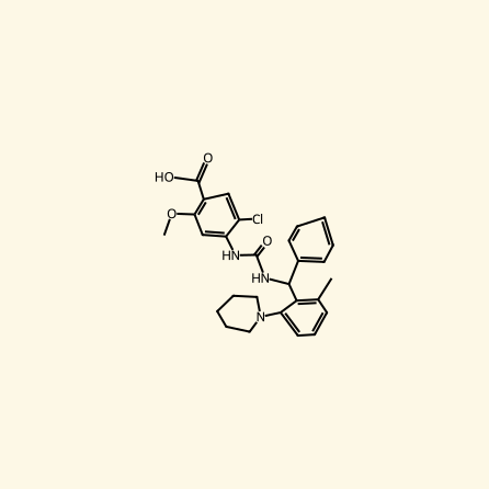 COc1cc(NC(=O)NC(c2ccccc2)c2c(C)cccc2N2CCCCC2)c(Cl)cc1C(=O)O